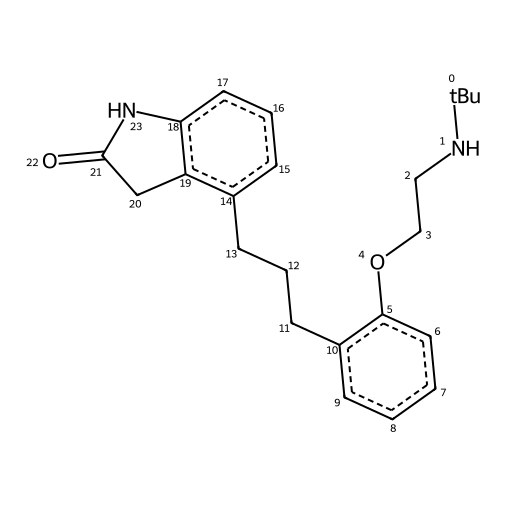 CC(C)(C)NCCOc1ccccc1CCCc1cccc2c1CC(=O)N2